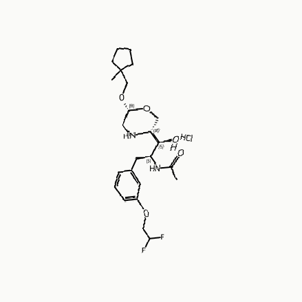 CC(=O)N[C@@H](Cc1cccc(OCC(F)F)c1)[C@H](O)[C@H]1CO[C@@H](OCC2(C)CCCC2)CN1.Cl